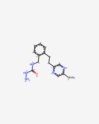 CC(=O)Nc1cnc(CCc2ccccc2CNC(=O)NN)cn1